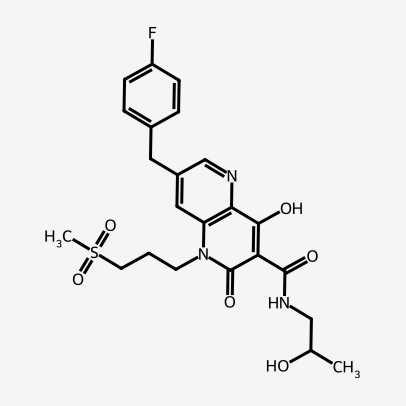 CC(O)CNC(=O)c1c(O)c2ncc(Cc3ccc(F)cc3)cc2n(CCCS(C)(=O)=O)c1=O